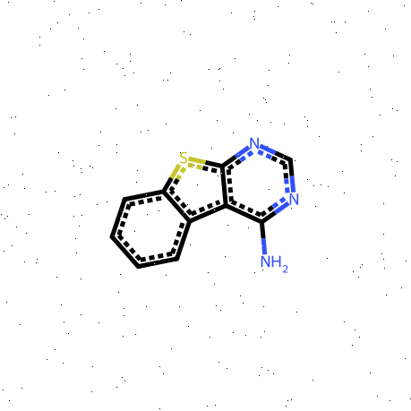 Nc1ncnc2sc3ccccc3c12